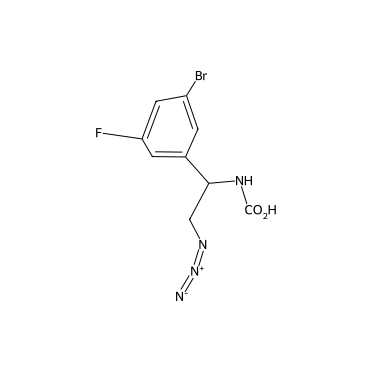 [N-]=[N+]=NCC(NC(=O)O)c1cc(F)cc(Br)c1